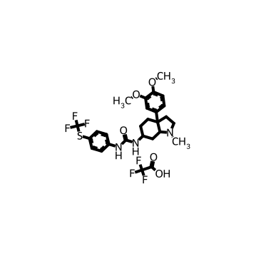 COc1ccc(C23CCC(NC(=O)Nc4ccc(SC(F)(F)F)cc4)CC2N(C)CC3)cc1OC.O=C(O)C(F)(F)F